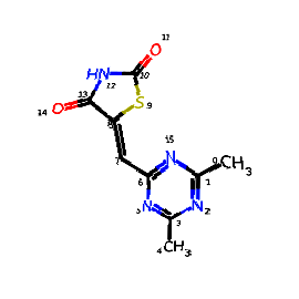 Cc1nc(C)nc(/C=C2\SC(=O)NC2=O)n1